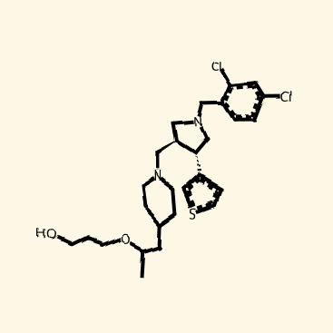 CC(CC1CCN(C[C@H]2CN(Cc3ccc(Cl)cc3Cl)C[C@@H]2c2ccsc2)CC1)OCCCO